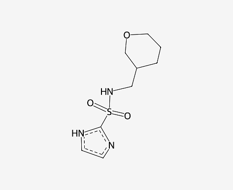 O=S(=O)(NCC1CCCOC1)c1ncc[nH]1